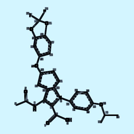 CC(=O)Nc1c(C(=O)O)n(-c2ccc(OC(C)C)cc2)c2ccc(Oc3ccc4c(c3)OC(F)(F)O4)cc12